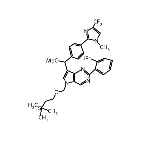 COC(c1ccc(-c2nc(C(F)(F)F)cn2C)cc1)c1cn(COCC[Si](C)(C)C)c2cnc(-c3ccccc3C(C)C)nc12